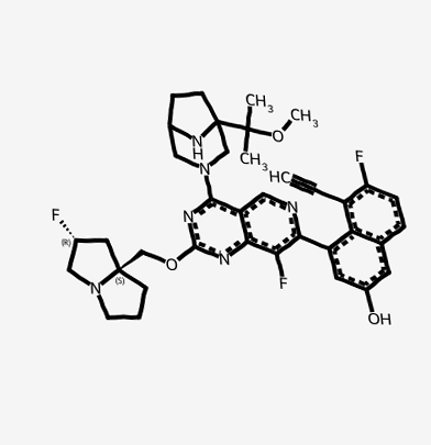 C#Cc1c(F)ccc2cc(O)cc(-c3ncc4c(N5CC6CCC(C(C)(C)OC)(C5)N6)nc(OC[C@@]56CCCN5C[C@H](F)C6)nc4c3F)c12